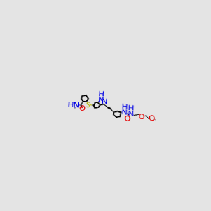 CNC(=O)c1ccccc1Sc1ccc2c(C#Cc3cccc(NC(=O)NCCOCCOC)c3)n[nH]c2c1